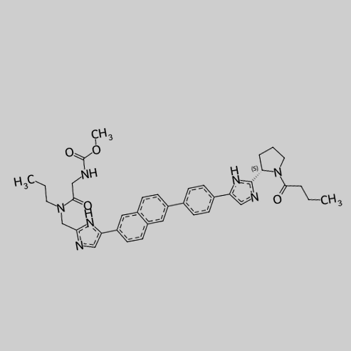 CCCC(=O)N1CCC[C@H]1c1ncc(-c2ccc(-c3ccc4cc(-c5cnc(CN(CCC)C(=O)CNC(=O)OC)[nH]5)ccc4c3)cc2)[nH]1